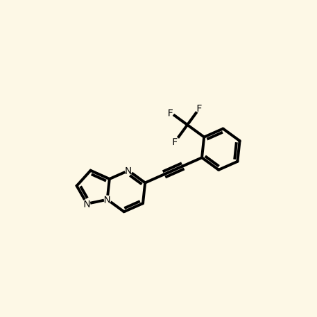 FC(F)(F)c1ccccc1C#Cc1ccn2nccc2n1